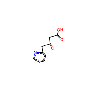 O=C(O)CC(=O)Cc1ccccn1